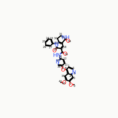 COc1cc2nccc(Oc3ccc(NC(=O)c4cc5c(n(-c6ccccc6)c4=O)CCNC5=O)nc3)c2cc1OC